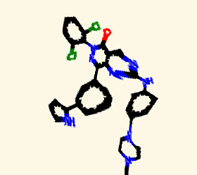 CN1CCN(c2ccc(Nc3ncc4c(=O)n(-c5c(Cl)cccc5Cl)nc(-c5cccc(-c6ccc[nH]6)c5)c4n3)cc2)CC1